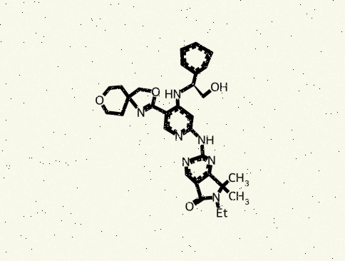 CCN1C(=O)c2cnc(Nc3cc(N[C@H](CO)c4ccccc4)c(C4=NC5(CCOCC5)CO4)cn3)nc2C1(C)C